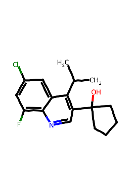 CC(C)c1c(C2(O)CCCC2)cnc2c(F)cc(Cl)cc12